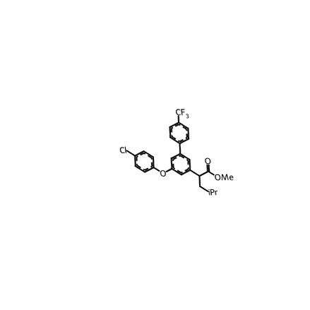 COC(=O)C(CC(C)C)c1cc(Oc2ccc(Cl)cc2)cc(-c2ccc(C(F)(F)F)cc2)c1